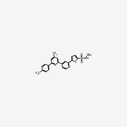 CC(C)(C)NS(=O)(=O)c1ccc(-c2cc(-c3cc(C(F)(F)F)cc(-c4ccc(C(F)(F)F)cc4)n3)ccn2)s1